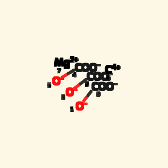 O=C([O-])[O-].O=C([O-])[O-].O=C([O-])[O-].[C+4].[Mg+2]